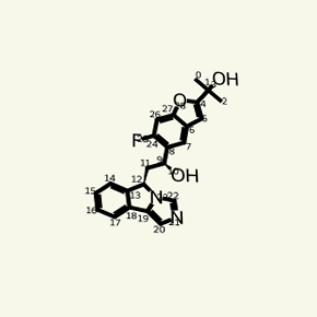 CC(C)(O)c1cc2cc([C@@H](O)C[C@@H]3c4ccccc4-c4cncn43)c(F)cc2o1